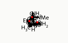 CCn1nc(C)cc1C(=O)Nc1nc2cc(S(N)(=O)=O)ccc2n1C/C=C/Cn1c(NC(=O)c2cc(C)nn2CC)nc2cc(C(N)=O)cc(OCCCNC)c21